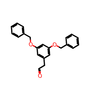 O=CCc1cc(OCc2ccccc2)cc(OCc2ccccc2)c1